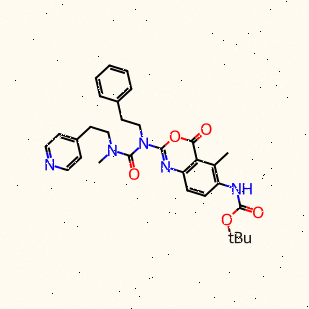 Cc1c(NC(=O)OC(C)(C)C)ccc2nc(N(CCc3ccccc3)C(=O)N(C)CCc3ccncc3)oc(=O)c12